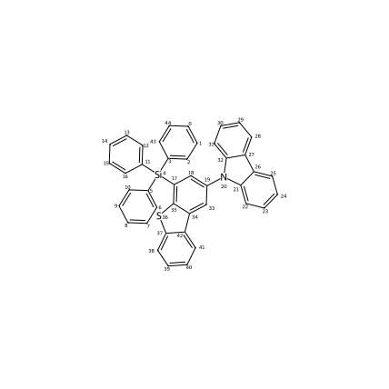 c1ccc([Si](c2ccccc2)(c2ccccc2)c2cc(-n3c4ccccc4c4ccccc43)cc3c2sc2ccccc23)cc1